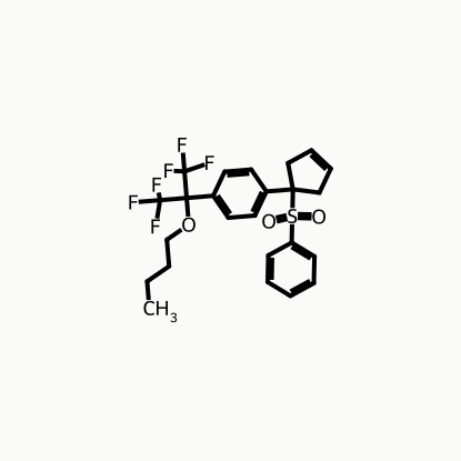 CCCCOC(c1ccc(C2(S(=O)(=O)c3ccccc3)CC=CC2)cc1)(C(F)(F)F)C(F)(F)F